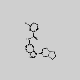 O=C(Nc1ccc2[nH]cc(C3=CCN4CCCC4C3)c2c1)c1cccc(Br)c1